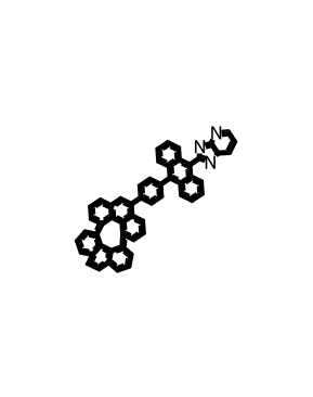 C1=CC2N=C(c3c4ccccc4c(-c4ccc(-c5cc6cccc7c8cccc9ccc%10cccc(c%11cccc5c%11c67)c%10c98)cc4)c4ccccc34)N=C2N=C1